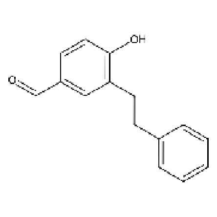 O=Cc1ccc(O)c(CCc2ccccc2)c1